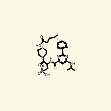 CC(C)Nc1cc(C(=O)NC(CP(=O)(O)O)C(=O)N2CCNCC2)nc(-c2ccccc2)n1.CCCCC(=O)O